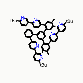 Cc1cc(-c2ccc(-c3ccc(C(C)(C)C)nc3)nc2)c(-c2cc(-c3ccccc3-c3ccc(-c4ccc(C(C)(C)C)nc4)nc3)cc(-c3cc(C)c(C)cc3-c3ccc(-c4ccc(C(C)(C)C)nc4)nc3)c2)cc1C